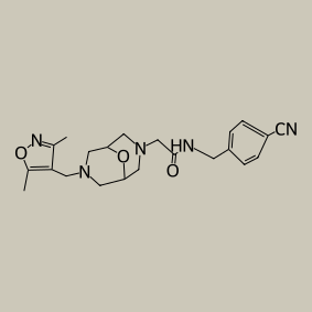 Cc1noc(C)c1CN1CC2CN(CC(=O)NCc3ccc(C#N)cc3)CC(C1)O2